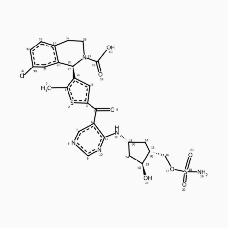 Cc1sc(C(=O)c2cncnc2N[C@@H]2C[C@H](COS(N)(=O)=O)[C@@H](O)C2)cc1[C@H]1c2cc(Cl)ccc2CCN1C(=O)O